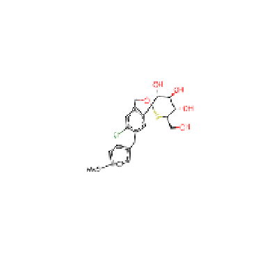 CSc1ccc(Cc2cc3c(cc2Cl)CO[C@]32S[C@H](CO)[C@@H](O)[C@H](O)[C@H]2O)cc1